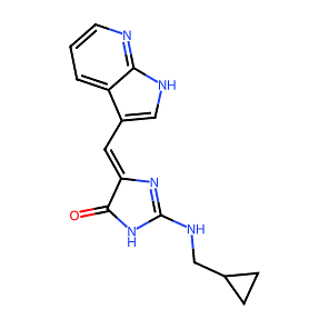 O=C1NC(NCC2CC2)=NC1=Cc1c[nH]c2ncccc12